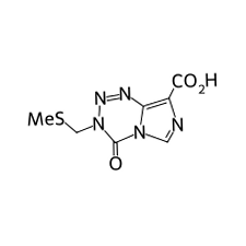 CSCn1nnc2c(C(=O)O)ncn2c1=O